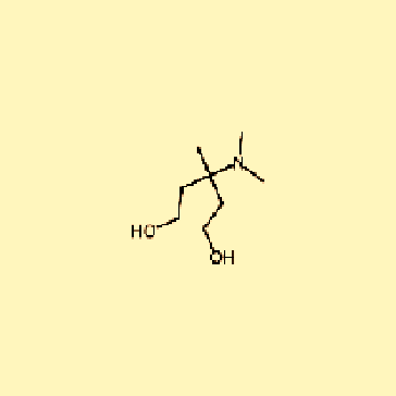 CN(C)C(C)(CCO)CCO